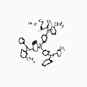 C=C/C=C\C(=C/C)N(c1ccc(N(c2ccc(N(C3=CCCC(C)=C3)c3ccccc3)cc2)C2C=CC(N(c3ccccc3)c3cccc(C)c3)=CC2)cc1)c1cccc(C)c1